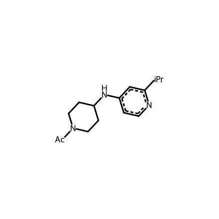 CC(=O)N1CCC(Nc2ccnc(C(C)C)c2)CC1